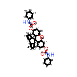 O=C(Nc1ccccc1)Oc1ccc2c(c1)Oc1ccc(OC(=O)Nc3ccccc3)cc1C21c2ccccc2-c2ccccc21